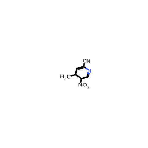 CC1C=C(C#N)N=CC1[N+](=O)[O-]